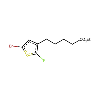 CCOC(=O)CCCCc1cc(Br)sc1F